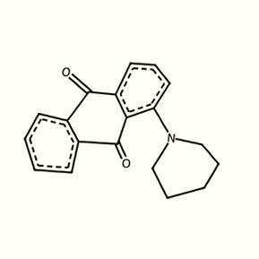 O=C1c2ccccc2C(=O)c2c1cccc2N1CCCCC1